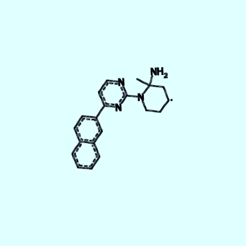 CC1(N)C[CH]CCN1c1nccc(-c2ccc3ccccc3c2)n1